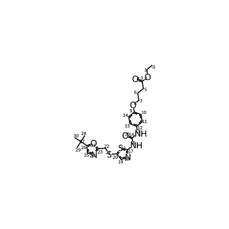 CCOC(=O)CCCOc1ccc(NC(=O)Nc2ncc(SCc3ncc(C(C)(C)C)o3)s2)cc1